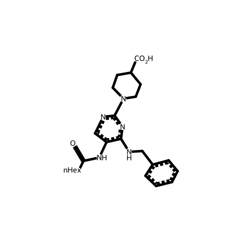 CCCCCCC(=O)Nc1cnc(N2CCC(C(=O)O)CC2)nc1NCc1ccccc1